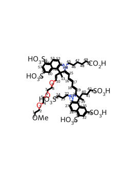 COCCOCCOCCOCCC1(C)\C(=C/C=C/C=C/C2=[N+](CCCS(=O)(=O)O)c3ccc4c(S(=O)(=O)O)cc(S(=O)(=O)O)cc4c3C2(C)CCCS(=O)(=O)O)N(CCCCCC(=O)O)c2ccc3c(S(=O)(=O)O)cc(S(=O)(=O)O)cc3c21